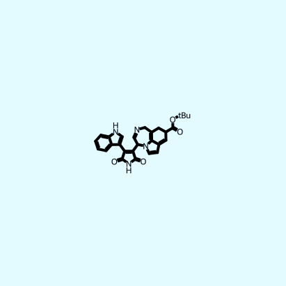 CC(C)(C)OC(=O)C1C=c2ccn3c2=C(CN=CC3C2=C(c3c[nH]c4ccccc34)C(=O)NC2=O)C1